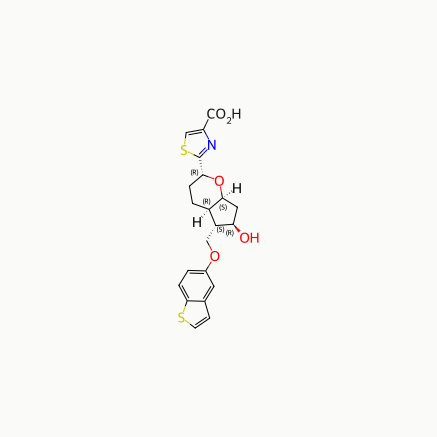 O=C(O)c1csc([C@H]2CC[C@@H]3[C@@H](COc4ccc5sccc5c4)[C@H](O)C[C@@H]3O2)n1